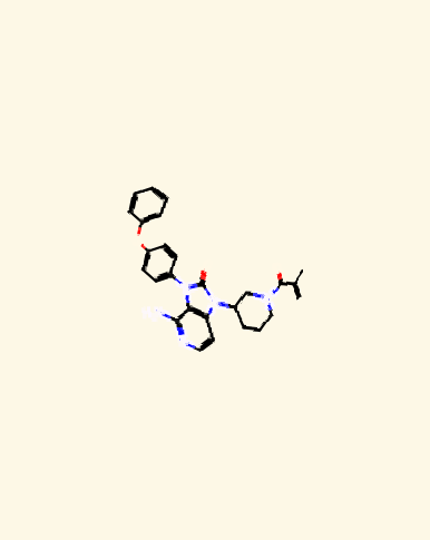 C=C(C)C(=O)N1CCCC(n2c(=O)n(-c3ccc(Oc4ccccc4)cc3)c3c(N)nccc32)C1